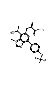 C=C(Cc1cc(-c2ccc(OC(F)(F)F)cc2)c2ncn(C)c2c1C(C)O)C(N)=O